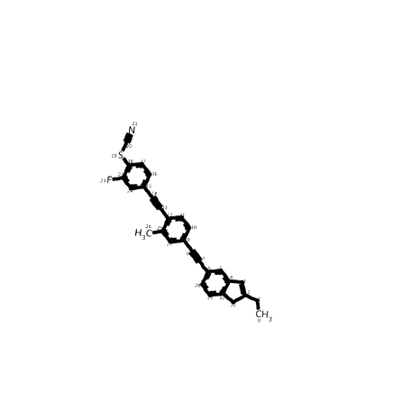 CCC1=Cc2cc(C#Cc3ccc(C#Cc4ccc(SC#N)c(F)c4)c(C)c3)ccc2C1